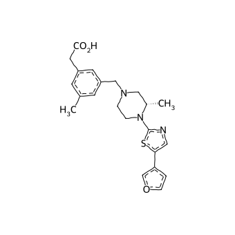 Cc1cc(CC(=O)O)cc(CN2CCN(c3ncc(-c4ccoc4)s3)[C@@H](C)C2)c1